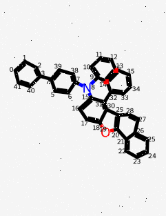 c1ccc(-c2ccc(N(c3ccccc3)c3ccc4oc5c6ccccc6ccc5c4c3-c3ccccc3)cc2)cc1